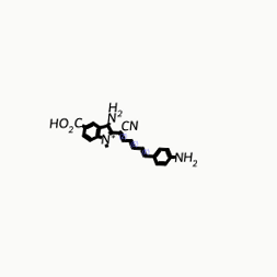 C[N+]1=C(/C(C#N)=C/C=C/C=C/c2ccc(N)cc2)C(N)c2cc(C(=O)O)ccc21